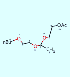 CCCCOCCOC(C)OCCOC(C)=O